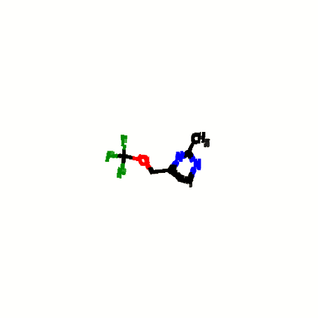 Cc1n[c]cc(COC(F)(F)F)n1